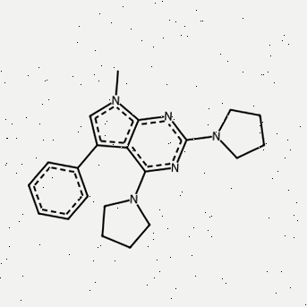 Cn1cc(-c2ccccc2)c2c(N3CCCC3)nc(N3CCCC3)nc21